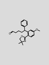 COc1ccc(C2=NC(C)(C)CO2)c(C(CCCC=O)c2ccccc2)c1